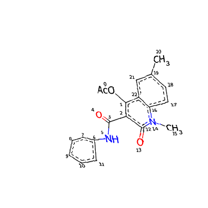 CC(=O)Oc1c(C(=O)Nc2ccccc2)c(=O)n(C)c2ccc(C)cc12